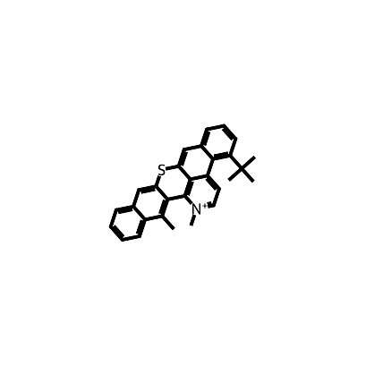 Cc1c2c(cc3ccccc13)Sc1cc3cccc(C(C)(C)C)c3c3cc[n+](C)c-2c13